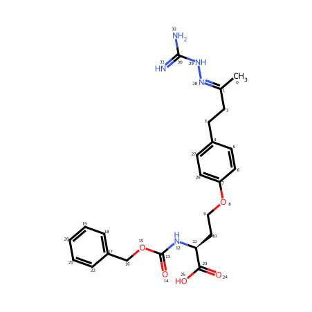 CC(CCc1ccc(OCC[C@H](NC(=O)OCc2ccccc2)C(=O)O)cc1)=NNC(=N)N